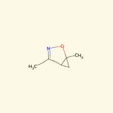 CC1=NOC2(C)CC12